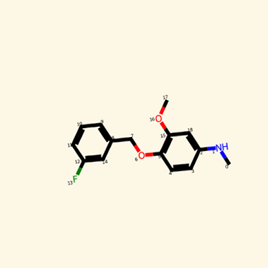 CNc1ccc(OCc2cccc(F)c2)c(OC)c1